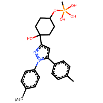 COc1ccc(-n2nc(C3(O)CCC(OP(C)(O)(O)O)CC3)cc2-c2ccc(C)cc2)cc1